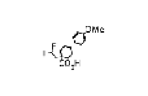 COC1=CCC([C@H]2CC[C@](CC(F)F)(C(=O)O)CC2)C=C1